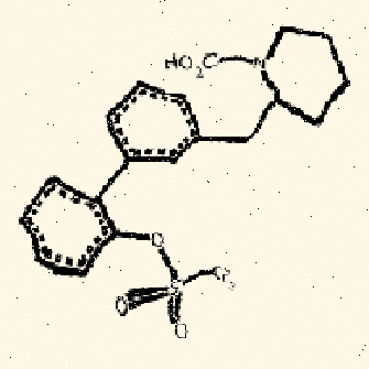 O=C(O)N1CCCCC1Cc1cccc(-c2ccccc2OS(=O)(=O)C(F)(F)F)c1